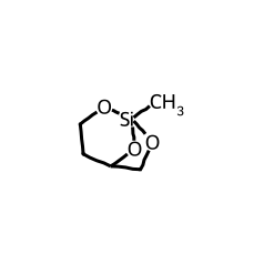 C[Si]12OCCC(CO1)O2